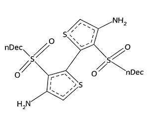 CCCCCCCCCCS(=O)(=O)c1c(N)csc1-c1scc(N)c1S(=O)(=O)CCCCCCCCCC